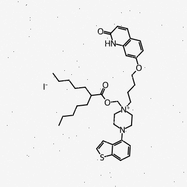 CCCCCC(CCCCC)C(=O)OC[N+]1(CCCCOc2ccc3ccc(=O)[nH]c3c2)CCN(c2cccc3sccc23)CC1.[I-]